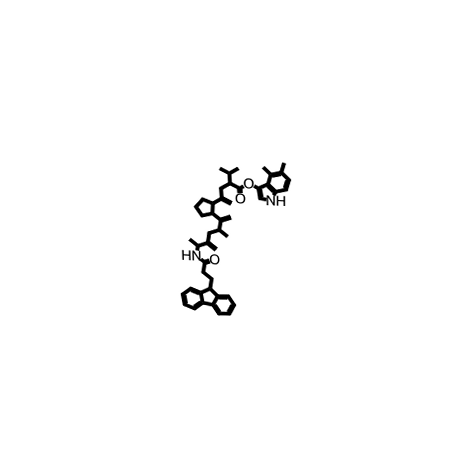 C=C(CC(C)C(=C)C1CCCC1C(=C)CC(C(=O)Oc1c[nH]c2ccc(C)c(C)c12)C(C)C)C(C)NC(=O)CCC1c2ccccc2-c2ccccc21